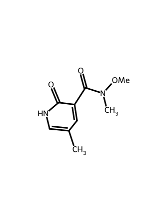 CON(C)C(=O)c1cc(C)c[nH]c1=O